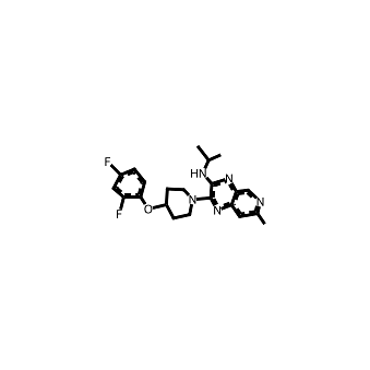 Cc1cc2nc(N3CCC(Oc4ccc(F)cc4F)CC3)c(NC(C)C)nc2cn1